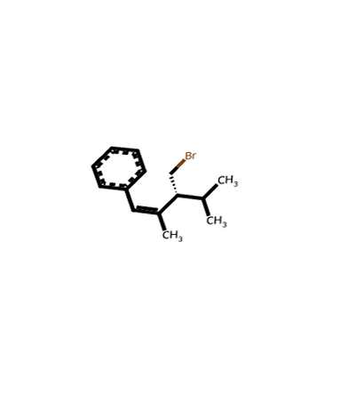 C/C(=C/c1ccccc1)[C@H](CBr)C(C)C